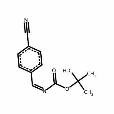 CC(C)(C)OC(=O)/N=C\c1ccc(C#N)cc1